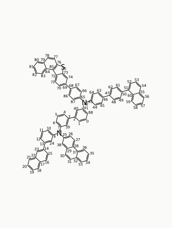 c1cc(-c2cccc(N(c3cccc(-c4ccc5ccccc5c4)c3)c3ccc4c(ccc5ccccc54)c3)c2)cc(N(c2ccc(-c3ccc(-c4cccc5ccccc45)cc3)cc2)c2ccc(-c3ccc4c(c3)sc3ccc5ccccc5c34)cc2)c1